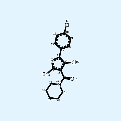 O=C(c1c(Br)sc(-c2ccc(Cl)cc2)c1Cl)N1CCCCC1